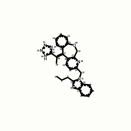 CCCc1nc2ccccc2n1Cc1ccc2c(n1)COc1ccccc1C2=C(C)c1nnn[nH]1